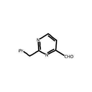 CC(C)Cc1nccc(C=O)n1